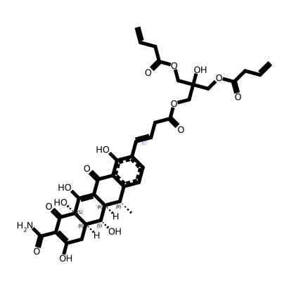 C=CCC(=O)OCC(O)(COC(=O)CC=C)COC(=O)C/C=C/c1ccc2c(c1O)C(=O)C1=C(O)[C@]3(O)C(=O)C(C(N)=O)=C(O)C[C@@H]3[C@@H](O)[C@@H]1[C@H]2C